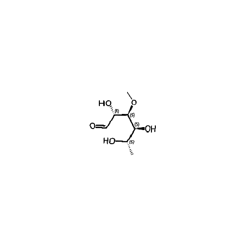 CO[C@@H]([C@@H](O)[C@H](C)O)[C@@H](O)C=O